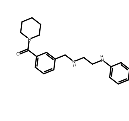 O=C(c1cccc(CNCCNc2ccccc2)c1)N1CCCCC1